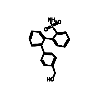 NS(=O)(=O)c1ccccc1-c1ccccc1-c1ccc(CO)cc1